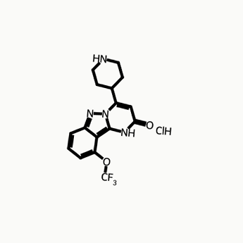 Cl.O=c1cc(C2CCNCC2)n2nc3cccc(OC(F)(F)F)c3c2[nH]1